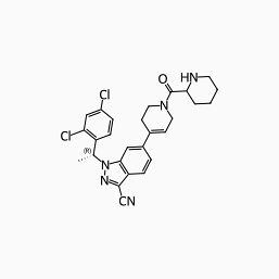 C[C@H](c1ccc(Cl)cc1Cl)n1nc(C#N)c2ccc(C3=CCN(C(=O)C4CCCCN4)CC3)cc21